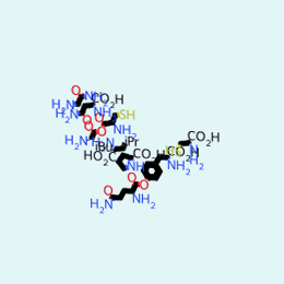 CC(C)C[C@H](N)C(=O)O.CC[C@H](C)[C@H](N)C(=O)OC(=O)[C@@H](N)CS.NC(=O)CC[C@H](N)C(=O)Oc1ccc(C[C@H](N)C(=O)O)cc1.NC(=O)C[C@H](N)C(=O)O.NCC(N)=O.N[C@@H](CS)C(=O)O.O=C(O)[C@@H]1CCCN1